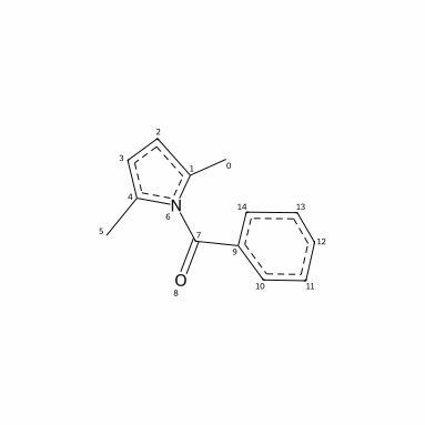 Cc1ccc(C)n1C(=O)c1ccccc1